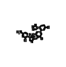 Cc1cc(-c2cc(Cl)ccc2-n2cnnn2)cc(=O)n1Cc1ncc(-c2ccc(N)nc2Cl)[nH]1